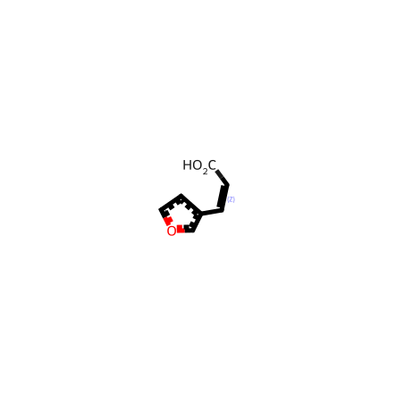 O=C(O)/C=C\c1ccoc1